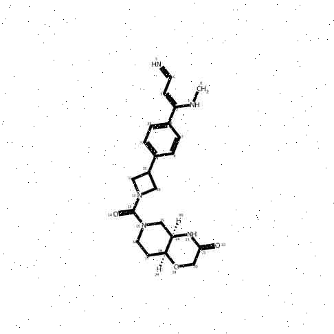 CN/C(=C\C=N)c1ccc(C2CN(C(=O)N3CC[C@@H]4OCC(=O)N[C@@H]4C3)C2)cc1